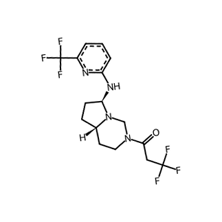 O=C(CC(F)(F)F)N1CC[C@@H]2CC[C@@H](Nc3cccc(C(F)(F)F)n3)N2C1